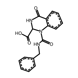 O=C1NC(C(=O)O)N(C(=O)NCc2ccccc2)c2ccccc21